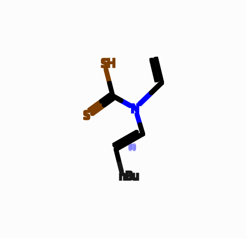 C=CN(/C=C/CCCC)C(=S)S